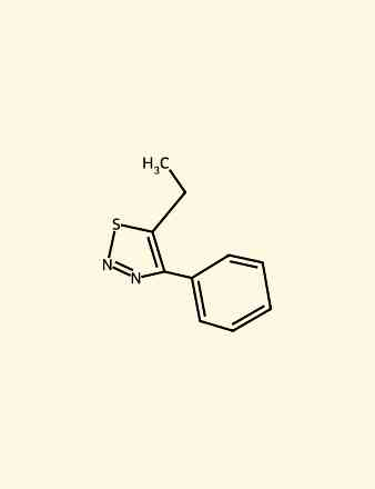 CCc1snnc1-c1ccccc1